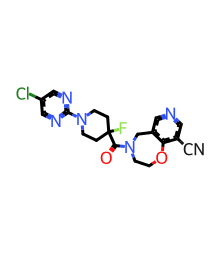 N#Cc1cncc2c1OCCN(C(=O)C1(F)CCN(c3ncc(Cl)cn3)CC1)C2